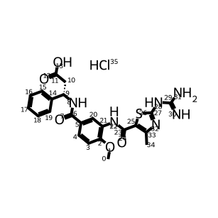 COc1ccc(C(=O)N[C@@H](CC(=O)O)c2ccccc2)cc1NC(=O)c1sc(NC(=N)N)nc1C.Cl